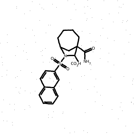 NC(=O)C12CCCCC(C1)N(S(=O)(=O)c1ccc3ccccc3c1)C2C(=O)O